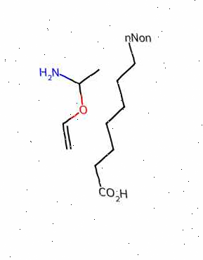 C=COC(C)N.CCCCCCCCCCCCCCCC(=O)O